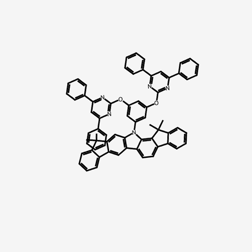 CC1(C)c2ccccc2-c2cc3c4ccc5c(c4n(-c4cc(Oc6nc(-c7ccccc7)cc(-c7ccccc7)n6)cc(Oc6nc(-c7ccccc7)cc(-c7ccccc7)n6)c4)c3cc21)C(C)(C)c1ccccc1-5